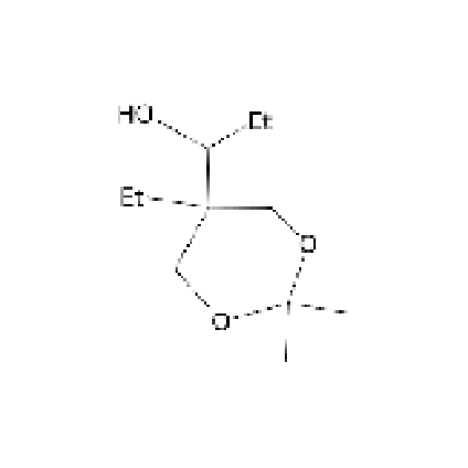 CCC(O)C1(CC)COC(C)(C)OC1